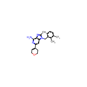 Cc1c(Cn2c(C)nc3c(N)nc(C4=CCOCC4)cc32)cccc1C(F)(F)F